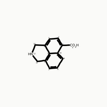 O=C(O)c1ccc2c3c(cccc13)CNC2